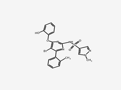 CCc1c(Oc2ccccc2O)nc(NS(=O)(=O)c2cnn(C)c2)nc1-c1ccccc1C